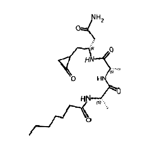 CCCCCCC(=O)N[C@@H](C)C(=O)N[C@@H](C)C(=O)N[C@@H](CC(N)=O)CC1CC1=O